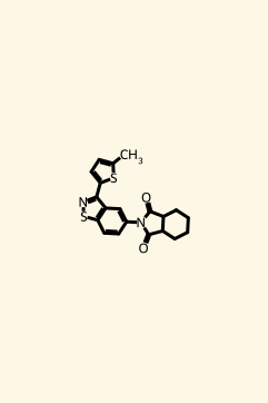 Cc1ccc(-c2nsc3ccc(N4C(=O)C5CCCCC5C4=O)cc23)s1